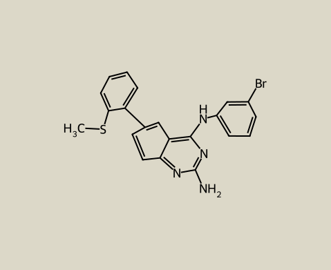 CSc1ccccc1-c1ccc2nc(N)nc(Nc3cccc(Br)c3)c2c1